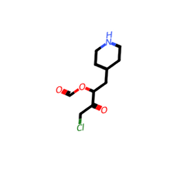 O=COC(CC1CCNCC1)C(=O)CCl